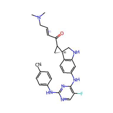 CN(C)C/C=C/C(=O)C1C[C@@]12CNc1cc(Nc3nc(Nc4ccc(C#N)cc4)ncc3F)ccc12